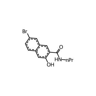 CCCNC(=O)c1cc2cc(Br)ccc2cc1O